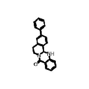 O=C1c2ccccc2NC2c3ccc(-c4ccccc4)cc3CCN12